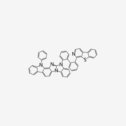 c1ccc(-n2c3ccccc3c3ccc4c(nc5n(-c6ccccc6-c6ccccc6-c6nccc7c6sc6ccccc67)c6ccccc6n45)c32)cc1